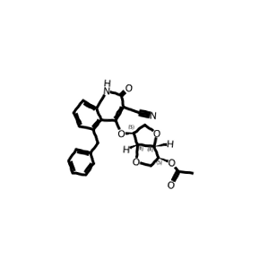 CC(=O)O[C@H]1CO[C@H]2[C@@H]1OC[C@@H]2Oc1c(C#N)c(=O)[nH]c2cccc(Cc3ccccc3)c12